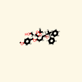 COc1ccc(COC(/C=C\C[C@H](C)O[Si](c2ccccc2)(c2ccccc2)C(C)(C)C)[C@H]2OC(C)(C)O[C@H]2CCO)cc1